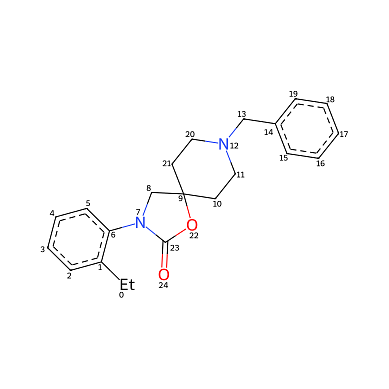 CCc1ccccc1N1CC2(CCN(Cc3ccccc3)CC2)OC1=O